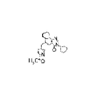 CC(=O)c1ccc(Cc2cc3c(=O)n(C4CCCCC4)cnc3c3ccccc23)cn1